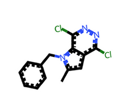 Cc1cc2c(Cl)nnc(Cl)c2n1Cc1ccccc1